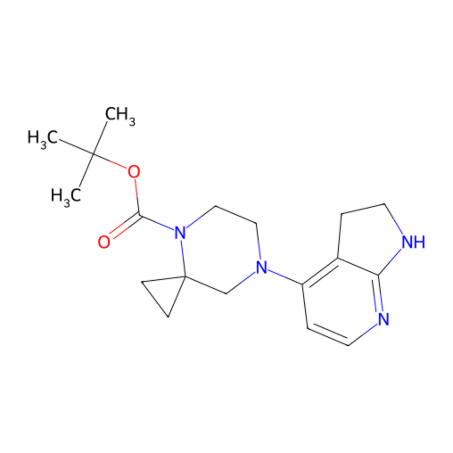 CC(C)(C)OC(=O)N1CCN(c2ccnc3c2CCN3)CC12CC2